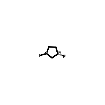 F[C@H]1CCN(I)C1